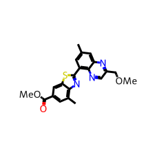 COCc1cnc2c(-c3nc4c(C)cc(C(=O)OC)cc4s3)cc(C)cc2n1